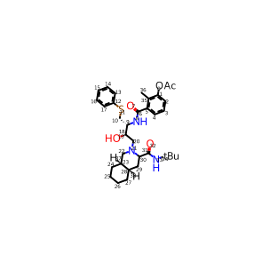 CC(=O)Oc1cccc(C(=O)N[C@@H](CSc2ccccc2)[C@H](O)CN2C[C@H]3CCCC[C@H]3CC2C(=O)NC(C)(C)C)c1C